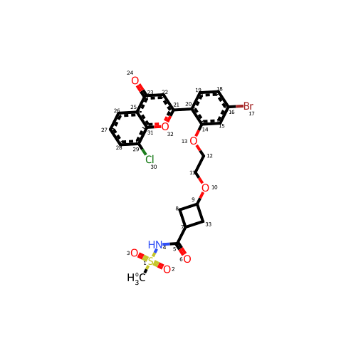 CS(=O)(=O)NC(=O)C1CC(OCCOc2cc(Br)ccc2-c2cc(=O)c3cccc(Cl)c3o2)C1